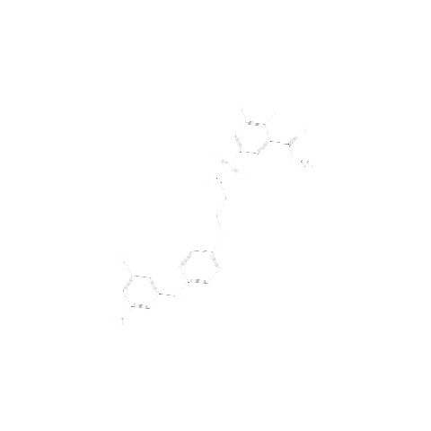 COC(=O)c1cc(S(=O)(=O)NCCSc2ccc(Oc3cc(Cl)cc(Cl)c3)cc2)cc(C)c1C